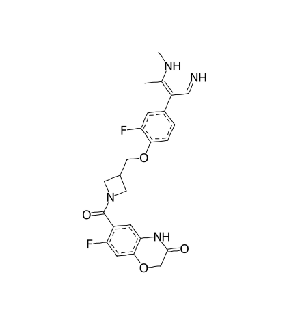 CN/C(C)=C(\C=N)c1ccc(OCC2CN(C(=O)c3cc4c(cc3F)OCC(=O)N4)C2)c(F)c1